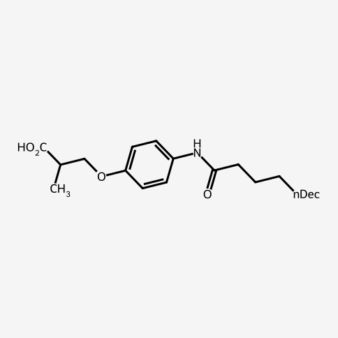 CCCCCCCCCCCCCC(=O)Nc1ccc(OCC(C)C(=O)O)cc1